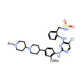 COc1cc(C2CCN(C3CCN(C(C)=O)CC3)CC2)ccc1Nc1ncc(Cl)c(Nc2ccccc2CN[SH](=O)=O)n1